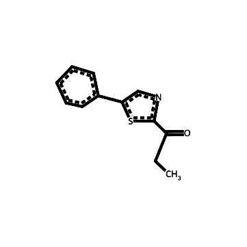 CCC(=O)c1ncc(-c2ccccc2)s1